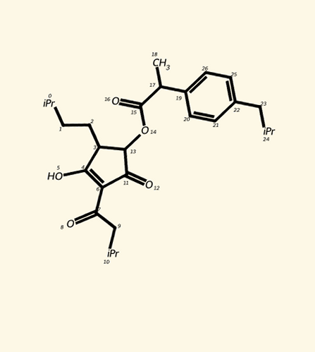 CC(C)CCC1C(O)=C(C(=O)CC(C)C)C(=O)C1OC(=O)C(C)c1ccc(CC(C)C)cc1